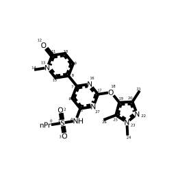 CCCS(=O)(=O)Nc1cc(-c2ccc(=O)n(C)c2)nc(Oc2c(C)nn(C)c2C)n1